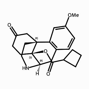 COc1ccc2c(c1)[C@]13CCN[C@H](C2)[C@]1(OC(=O)C1CCC1)CCC(=O)C3